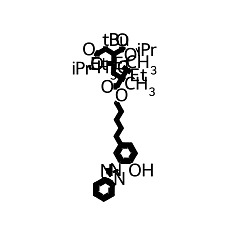 CCC(CC)(CC(C)(C(=O)OCCCCCc1ccc(O)c(-n2nc3ccccc3n2)c1)C(C)(C)CC)C(C(=O)OC(C)C)C(C(=O)OC(C)C)C(C)(C)C